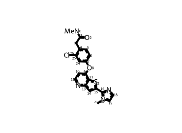 CNC(=O)Cc1ccc(Oc2ccnc3cc(-c4nccn4C)sc23)cc1Cl